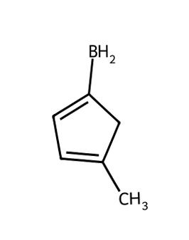 BC1=CC=C(C)C1